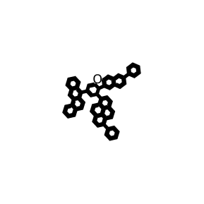 C1=C(c2c3ccccc3cc3c2ccc2ccccc23)C=C2Oc3cc4cc(-c5ccccc5)ccc4cc3C2C1c1ccc2ccc3c(-c4ccccc4)ccc4ccc1c2c43